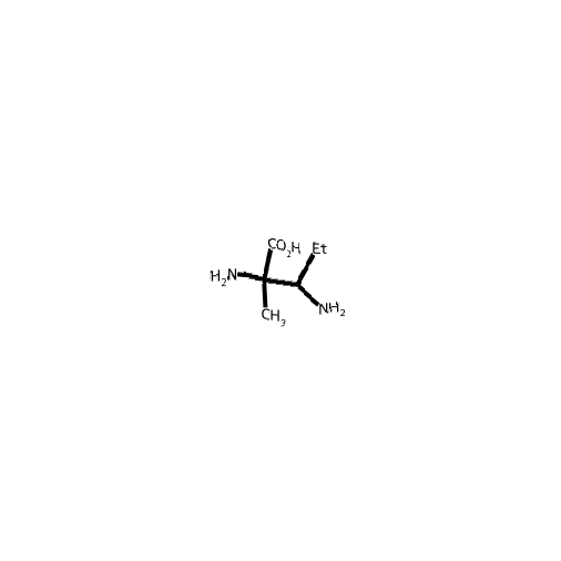 CCC(N)C(C)(N)C(=O)O